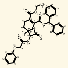 CCOC(=O)C1=C(C(=O)OC(c2ccccc2)c2ccccc2)N2C(=O)[C@@H](NC(=O)COc3ccccc3)[C@@H]2CC1